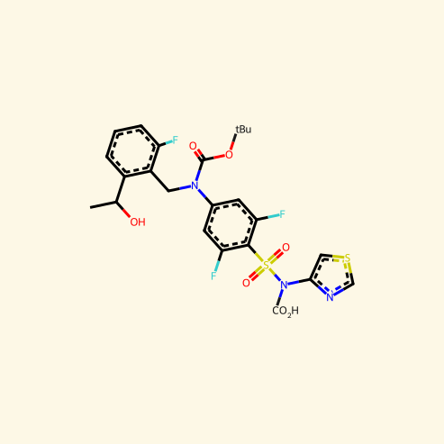 CC(O)c1cccc(F)c1CN(C(=O)OC(C)(C)C)c1cc(F)c(S(=O)(=O)N(C(=O)O)c2cscn2)c(F)c1